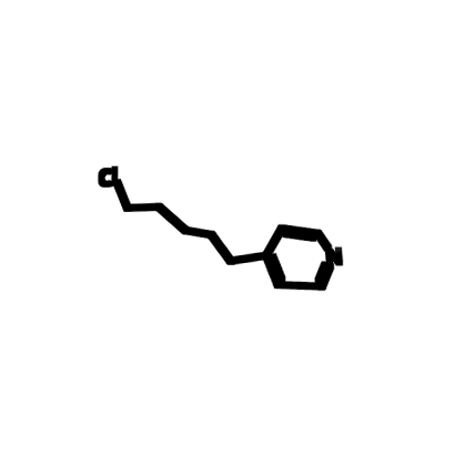 ClCCCCCc1ccncc1